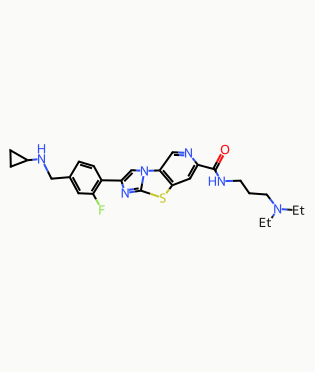 CCN(CC)CCCNC(=O)c1cc2sc3nc(-c4ccc(CNC5CC5)cc4F)cn3c2cn1